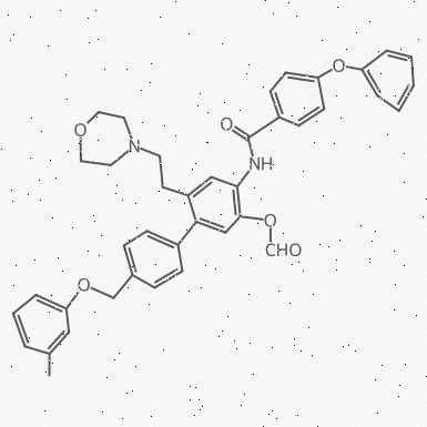 Cc1cccc(OCc2ccc(-c3cc(OC=O)c(NC(=O)c4ccc(Oc5ccccc5)cc4)cc3CCN3CCOCC3)cc2)c1